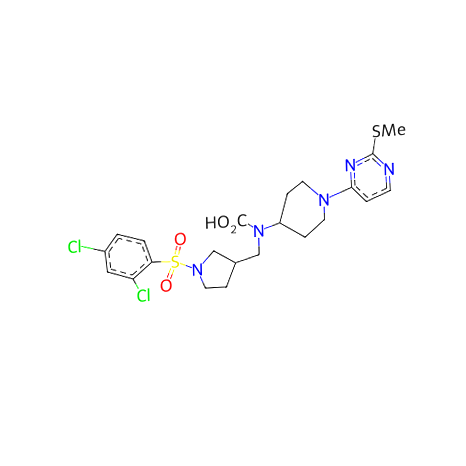 CSc1nccc(N2CCC(N(CC3CCN(S(=O)(=O)c4ccc(Cl)cc4Cl)C3)C(=O)O)CC2)n1